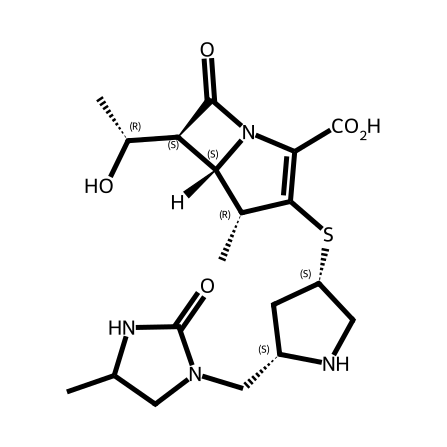 CC1CN(C[C@@H]2C[C@H](SC3=C(C(=O)O)N4C(=O)[C@H]([C@@H](C)O)[C@H]4[C@H]3C)CN2)C(=O)N1